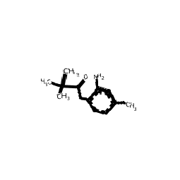 Cc1ccc(CC(=O)C(C)(C)C)c(N)c1